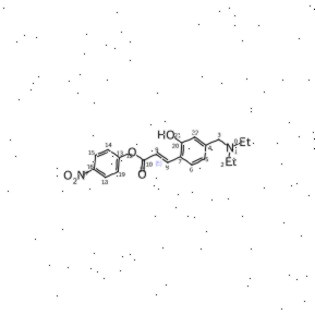 CCN(CC)Cc1ccc(/C=C/C(=O)Oc2ccc([N+](=O)[O-])cc2)c(O)c1